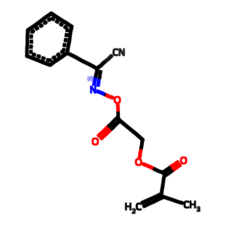 C=C(C)C(=O)OCC(=O)O/N=C(\C#N)c1ccccc1